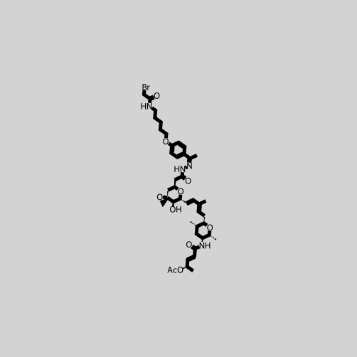 CC(=O)O[C@@H](C)C=CC(=O)N[C@@H]1C[C@H](C)[C@H](CC=C(C)C=C[C@H]2O[C@H](CC(=O)NN=C(C)c3ccc(OCCCCCNC(=O)CBr)cc3)C[C@@]3(CO3)[C@@H]2O)O[C@@H]1C